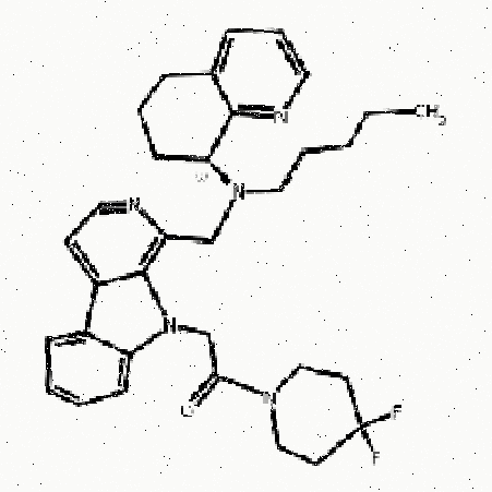 CCCCCN(Cc1nccc2c3ccccc3n(CC(=O)N3CCC(F)(F)CC3)c12)[C@H]1CCCc2cccnc21